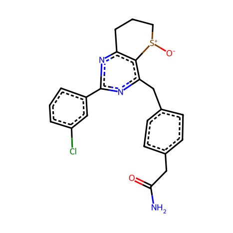 NC(=O)Cc1ccc(Cc2nc(-c3cccc(Cl)c3)nc3c2[S+]([O-])CCC3)cc1